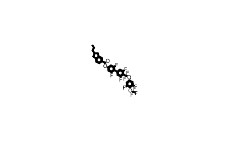 CCCC1Cc2ccc(C(=O)Oc3cc(F)c(-c4cc(F)c(C(F)(F)Oc5cc(F)c(OC(F)(F)F)c(F)c5)c(F)c4)c(F)c3)cc2C1